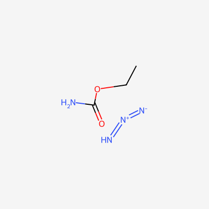 CCOC(N)=O.[N-]=[N+]=N